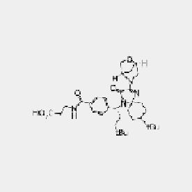 CC(C)(C)CC[C@H](c1ccc(C(=O)NCCC(=O)O)cc1)N1C(=O)C(N2C[C@H]3C[C@@H]2CO3)=NC12CCC(C(C)(C)C)CC2